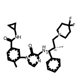 Cc1ccc(C(=O)NC2CC2)cc1-n1ccnc(N[C@@H](c2ccccc2)[C@@H](C)CN2CCC(F)(F)CC2)c1=O